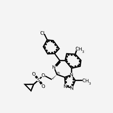 Cc1ccc2c(c1)C(c1ccc(Cl)cc1)=N[C@@H](COS(=O)(=O)C1CC1)c1nnc(C)n1-2